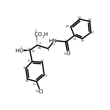 O=C(NC[C@@H](C(=O)O)[C@H](O)c1ccc(Cl)cc1)c1ccccc1